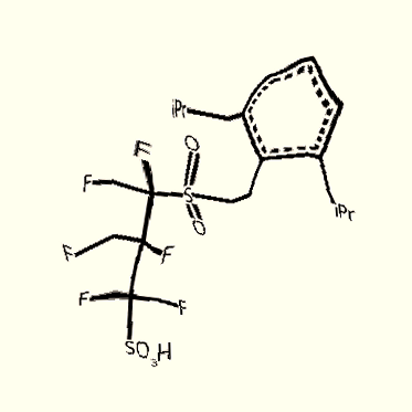 CC(C)c1cccc(C(C)C)c1CS(=O)(=O)C(F)(F)C(F)(F)C(F)(F)S(=O)(=O)O